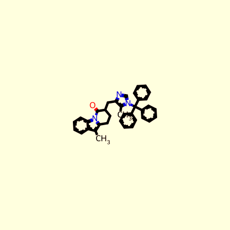 Cc1c2n(c3ccccc13)C(=O)C(Cc1ncn(C(c3ccccc3)(c3ccccc3)c3ccccc3)c1C)CC2